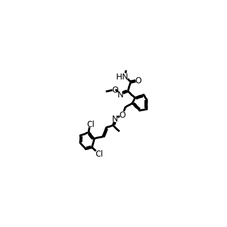 CNC(=O)C(=NOC)c1ccccc1CO/N=C(C)/C=C/c1c(Cl)cccc1Cl